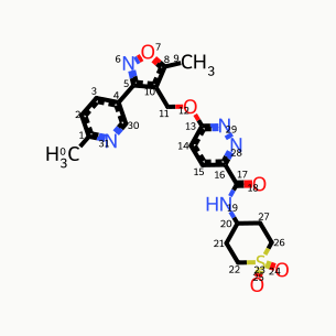 Cc1ccc(-c2noc(C)c2COc2ccc(C(=O)NC3CCS(=O)(=O)CC3)nn2)cn1